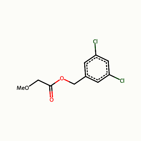 COCC(=O)OCc1cc(Cl)cc(Cl)c1